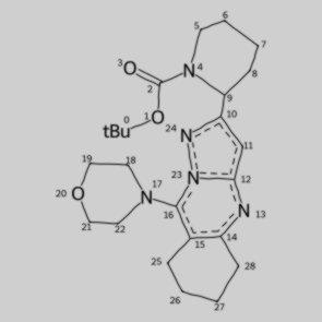 CC(C)(C)OC(=O)N1CCCCC1c1cc2nc3c(c(N4CCOCC4)n2n1)CCCC3